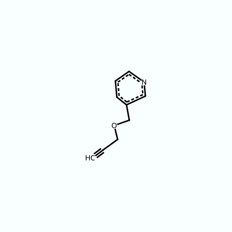 C#CCOCc1cccnc1